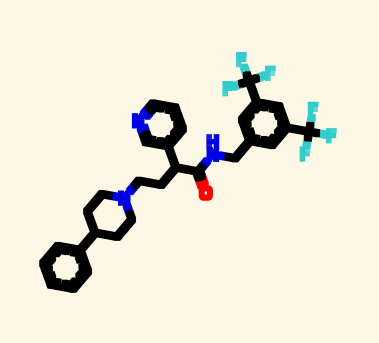 O=C(NCc1cc(C(F)(F)F)cc(C(F)(F)F)c1)C(CCN1CCC(c2ccccc2)CC1)c1cccnc1